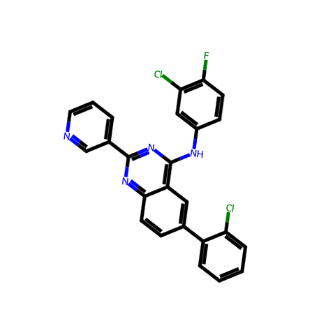 Fc1ccc(Nc2nc(-c3cccnc3)nc3ccc(-c4ccccc4Cl)cc23)cc1Cl